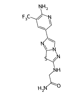 NC(=O)CNc1nn2cc(-c3cnc(N)c(C(F)(F)F)c3)nc2s1